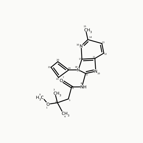 COC(C)(C)CC(=O)Nc1nc2ccc(C)nc2n1C1=CC=C1